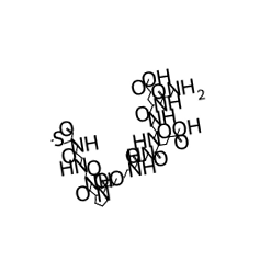 CSCC(C=O)NC(=O)CNC(=O)CNC(=O)C1CCCN1C(=O)COCCNC(=O)CNC(=O)C(CCC(=O)O)NC(=O)CNC(=O)C(CCC(=O)O)NC(=O)CN